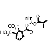 C=C(C)C(=O)OC(CCC)OC(=O)c1cccc(C(=O)O)c1C(=O)O